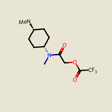 CN[C@H]1CC[C@H](N(C)C(=O)COC(=O)C(F)(F)F)CC1